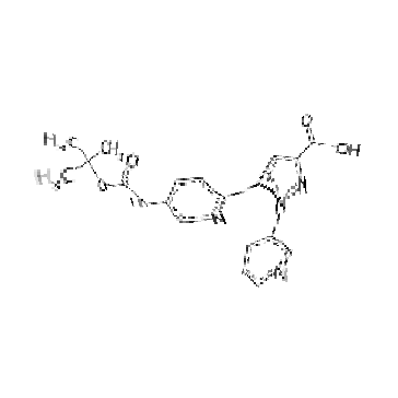 CC(C)(C)OC(=O)Nc1ccc(-c2cc(C(=O)O)nn2-c2cccnc2)nc1